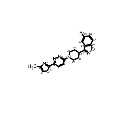 Cc1csc(-c2ccc(N3CCC(c4noc5ccc(F)cc45)CC3)nn2)n1